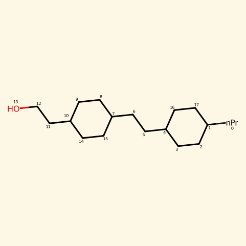 CCCC1CCC(CCC2CCC(CCO)CC2)CC1